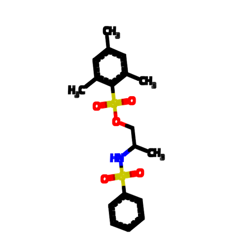 Cc1cc(C)c(S(=O)(=O)OCC(C)NS(=O)(=O)c2ccccc2)c(C)c1